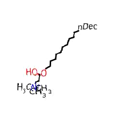 CCCCCCCCCCCCCCCCCCCCCCOC(O)CC[N+](C)(C)C